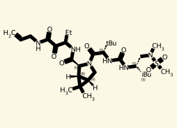 C=CCNC(=O)C(=O)C(CC)NC(=O)[C@@H]1[C@@H]2[C@H](CN1C(=O)[C@@H](NC(=O)N[C@H](CN(C)S(C)(=O)=O)[C@@H](C)CC)C(C)(C)C)C2(C)C